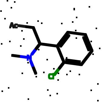 CC(=O)CC(c1ccccc1Cl)N(C)C